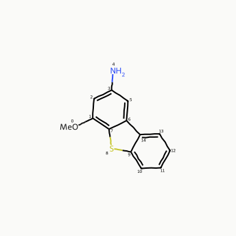 COc1cc(N)cc2c1sc1ccccc12